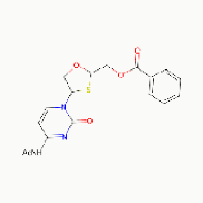 CC(=O)Nc1ccn(C2COC(COC(=O)c3ccccc3)S2)c(=O)n1